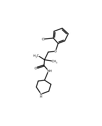 CC(C)(COc1ccccc1Cl)C(=O)NC1CCNCC1